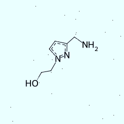 NCc1ccn(CCO)n1